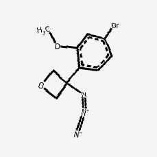 COc1cc(Br)ccc1C1(N=[N+]=[N-])COC1